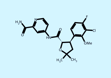 COc1c([C@H]2CC(C)(C)O[C@@H]2C(=O)Nc2ccnc(C(N)=O)c2)ccc(F)c1Cl